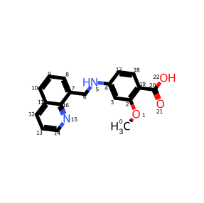 COc1cc(NCc2cccc3cccnc23)ccc1C(=O)O